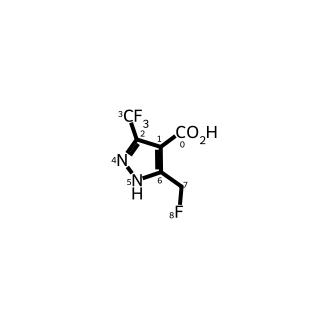 O=C(O)c1c(C(F)(F)F)n[nH]c1CF